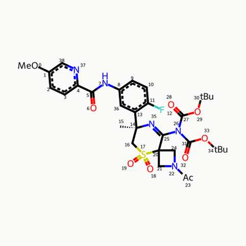 COc1ccc(C(=O)Nc2ccc(F)c([C@]3(C)CS(=O)(=O)C4(CN(C(C)=O)C4)C(N(C(=O)OC(C)(C)C)C(=O)OC(C)(C)C)=N3)c2)nc1